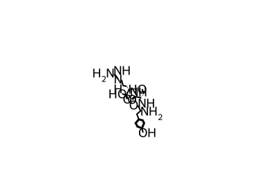 N=C(N)NCCC[C@H](NC(=O)[C@H](CO)NC(=O)[C@@H](N)Cc1ccc(O)cc1)C(=O)O